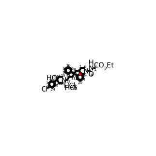 CCOC(=O)CNC(=O)N1CCC(CC(CCCN2CCC(O)(c3ccc(Cl)cc3)CC2)(c2ccccc2)c2ccccc2)CC1.Cl.Cl